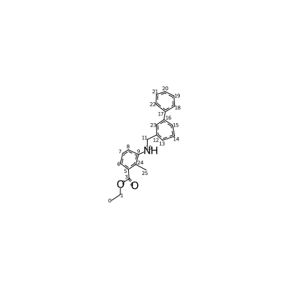 CCOC(=O)c1cccc(NCc2cccc(-c3ccccc3)c2)c1C